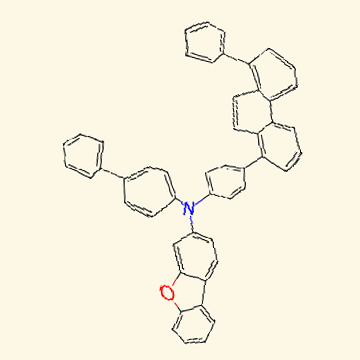 c1ccc(-c2ccc(N(c3ccc(-c4cccc5c4ccc4c(-c6ccccc6)cccc45)cc3)c3ccc4c(c3)oc3ccccc34)cc2)cc1